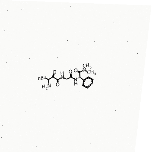 CCCCC(N)C(=O)C(=O)NCC(=O)N[C@H](C(=O)N(C)C)c1ccccc1